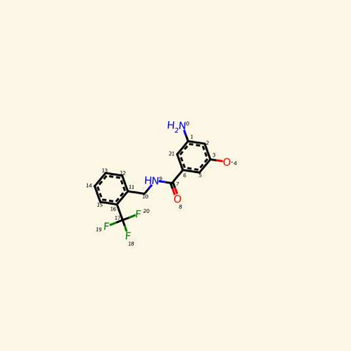 Nc1cc([O])cc(C(=O)NCc2ccccc2C(F)(F)F)c1